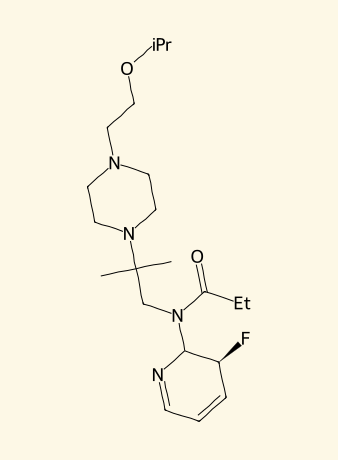 CCC(=O)N(CC(C)(C)N1CCN(CCOC(C)C)CC1)C1N=CC=C[C@@H]1F